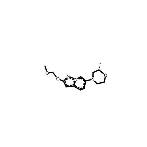 COCOc1cc2ccc(N3CCO[C@@H](C)C3)cn2n1